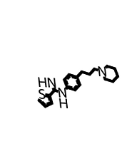 N=C(Nc1ccc(CCCN2CCCCC2)cc1)c1cccs1